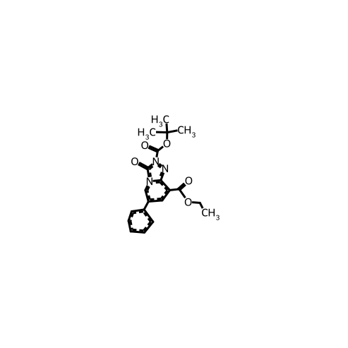 CCOC(=O)c1cc(-c2ccccc2)cn2c(=O)n(C(=O)OC(C)(C)C)nc12